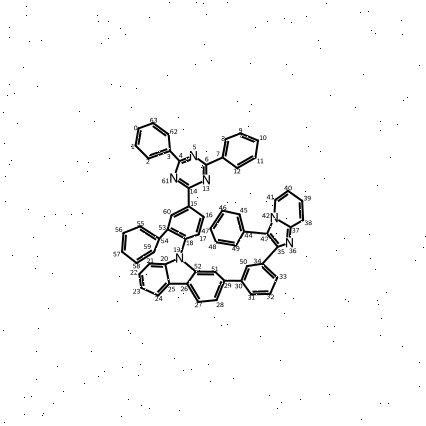 c1ccc(-c2nc(-c3ccccc3)nc(-c3ccc(-n4c5ccccc5c5ccc(-c6cccc(-c7nc8ccccn8c7-c7ccccc7)c6)cc54)c(-c4ccccc4)c3)n2)cc1